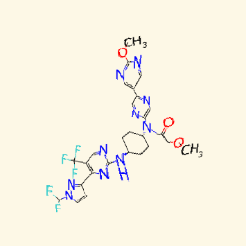 COCC(=O)N(c1cnc(-c2cnc(OC)nc2)cn1)[C@H]1CC[C@H](Nc2ncc(C(F)(F)F)c(-c3ccn(C(F)F)n3)n2)CC1